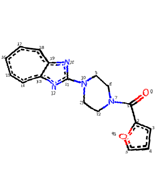 O=C(c1ccco1)N1CCN(c2nc3cccccc-3n2)CC1